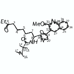 CCC(=O)CCCCCC(NC(=O)C(C)(C)N(C)C)c1ncc(-c2cc3ccccc3nc2OC)o1